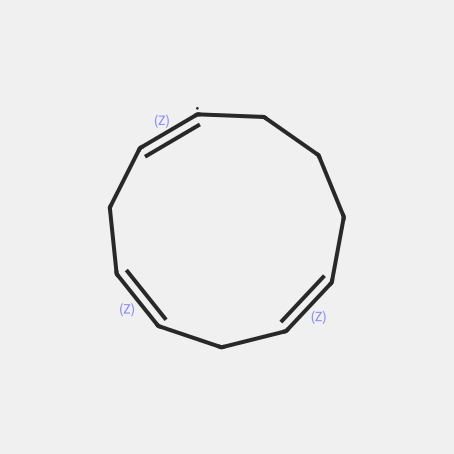 [C]1=C\C/C=C\C/C=C\CCC/1